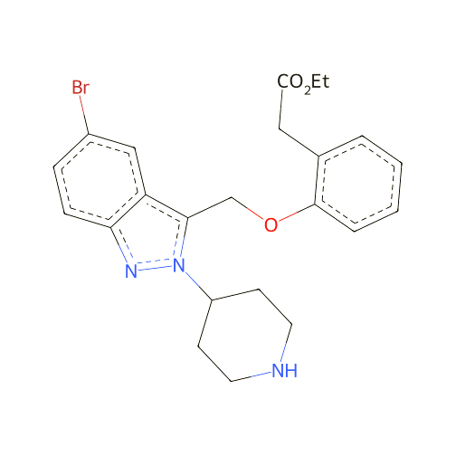 CCOC(=O)Cc1ccccc1OCc1c2cc(Br)ccc2nn1C1CCNCC1